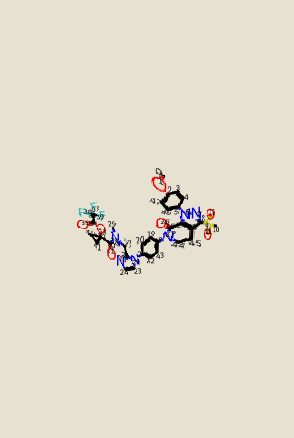 COc1ccc(-n2nc(S(C)(=O)=O)c3c2C(=O)N(c2ccc(-n4ccnc4CN(C)C(=O)C4(OC(=O)C(F)(F)F)CC4)cc2)CC3)cc1